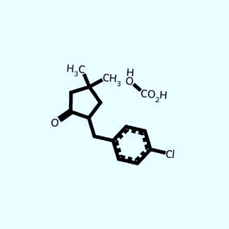 CC1(C)CC(=O)C(Cc2ccc(Cl)cc2)C1.O=C(O)O